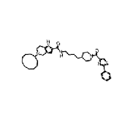 O=C(NCCCCC1CCN(C(=O)c2csc(-c3ccccc3)n2)CC1)c1cc2c([nH]1)CCN(C1CCCCCCCCC1)C2